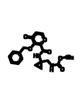 CC(C)(C)OC(=O)NCC1(NC(=O)c2occc(=O)c2OCc2ccccc2)CC1